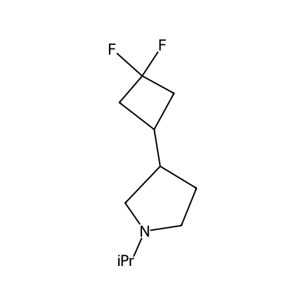 CC(C)N1CCC(C2CC(F)(F)C2)C1